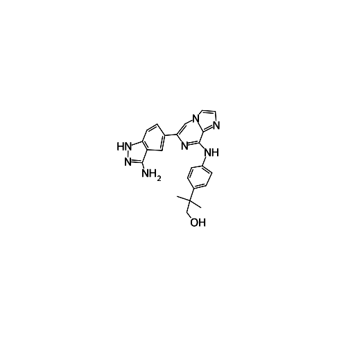 CC(C)(CO)c1ccc(Nc2nc(-c3ccc4[nH]nc(N)c4c3)cn3ccnc23)cc1